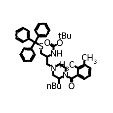 CCCCC1CN(CC(CSC(c2ccccc2)(c2ccccc2)c2ccccc2)NC(=O)OC(C)(C)C)CCN1C(=O)c1cccc(C)c1C